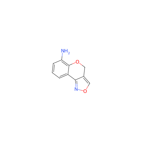 Nc1cccc2c1OCc1conc1-2